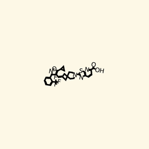 O=C(O)c1ccc2nc(N3CCC4(CC3)CC(=Cc3c(-c5ccccc5C(F)(F)F)noc3C3CC3)C4)sc2n1